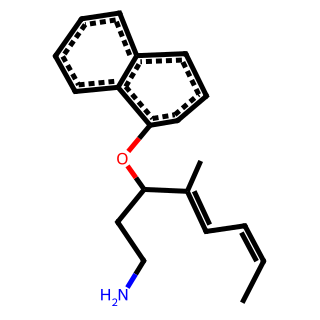 C/C=C\C=C(/C)C(CCN)Oc1cccc2ccccc12